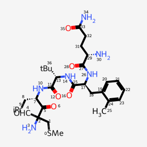 CSCC(N)(C=O)C(=O)[C@H](CC(C)C)NC(=O)[C@@H](NC(=O)[C@H](Cc1ccccc1C)NC(=O)[C@@H](N)CCC(N)=O)C(C)(C)C